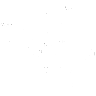 COc1ccc(CN2C(=O)C(=C3Sc4c(O)ccc(O)c4S3)C(=O)N2Cc2ccc(OC)cc2)cc1